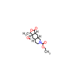 CCOC(=O)N1CC[C@@H]2[C@H](C[C@H]3C(=O)O[C@H](C)[C@H]3[C@H]2C=O)C1